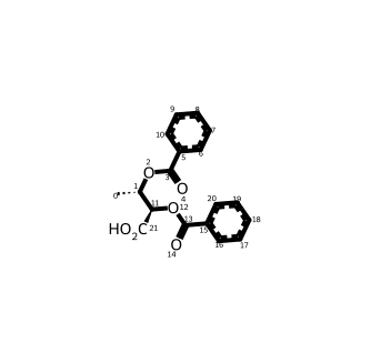 C[C@H](OC(=O)c1ccccc1)[C@@H](OC(=O)c1ccccc1)C(=O)O